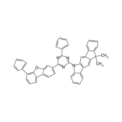 CC1(C)c2ccccc2-c2cc3c(cc21)c1ccccc1n3-c1nc(-c2ccccc2)nc(-c2ccc3c(c2)oc2c(-c4ccccc4)cccc23)n1